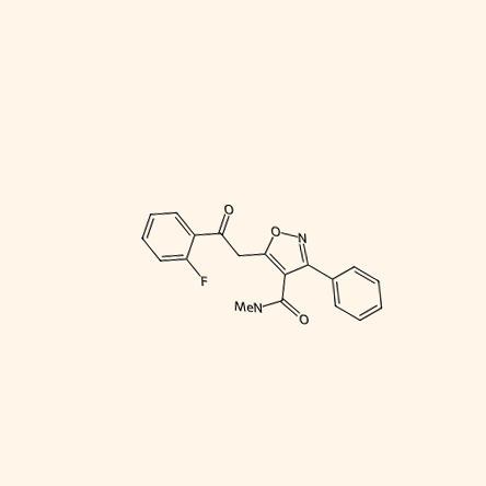 CNC(=O)c1c(-c2ccccc2)noc1CC(=O)c1ccccc1F